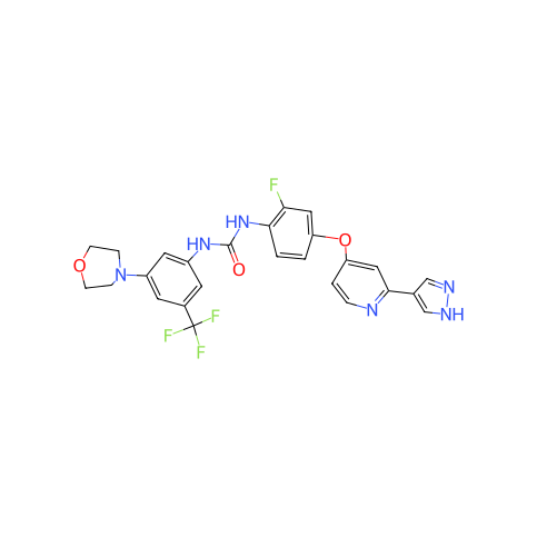 O=C(Nc1cc(N2CCOCC2)cc(C(F)(F)F)c1)Nc1ccc(Oc2ccnc(-c3cn[nH]c3)c2)cc1F